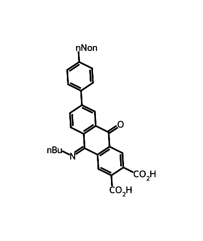 CCCCCCCCCc1ccc(-c2ccc3c(c2)C(=O)c2cc(C(=O)O)c(C(=O)O)cc2C3=NCCCC)cc1